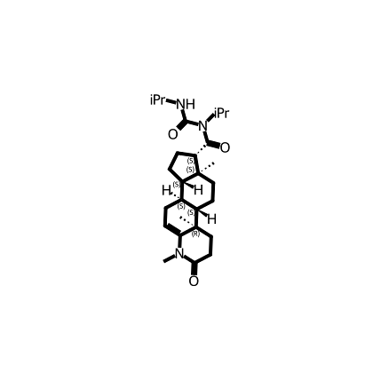 CC(C)NC(=O)N(C(=O)[C@H]1CC[C@H]2[C@@H]3CC=C4N(C)C(=O)CC[C@]4(C)[C@H]3CC[C@]12C)C(C)C